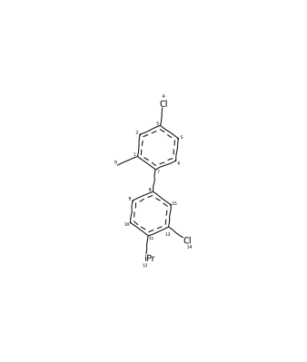 Cc1cc(Cl)ccc1-c1ccc(C(C)C)c(Cl)c1